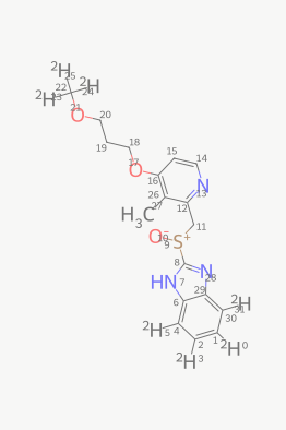 [2H]c1c([2H])c([2H])c2[nH]c([S+]([O-])Cc3nccc(OCCCOC([2H])([2H])[2H])c3C)nc2c1[2H]